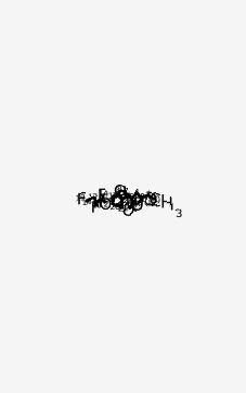 COCC1CN(c2coc3cc(OC(F)C(F)CCF)ccc23)C(=O)O1